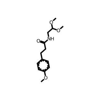 COc1ccc(CCC(=O)NCC(OC)OC)cc1